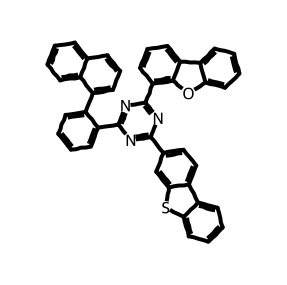 c1ccc(-c2cccc3ccccc23)c(-c2nc(-c3ccc4c(c3)sc3ccccc34)nc(-c3cccc4c3oc3ccccc34)n2)c1